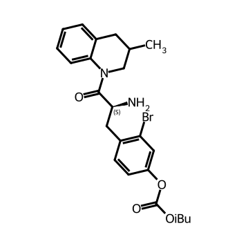 CC(C)COC(=O)Oc1ccc(C[C@H](N)C(=O)N2CC(C)Cc3ccccc32)c(Br)c1